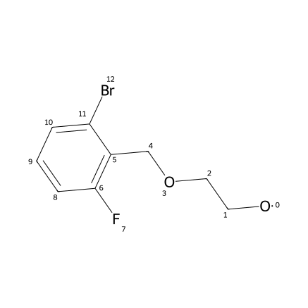 [O]CCOCc1c(F)cccc1Br